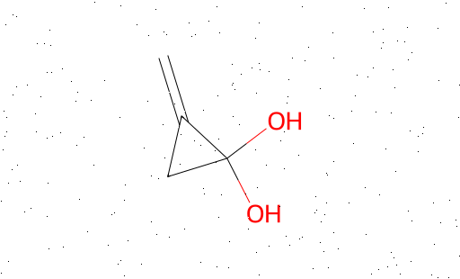 C=C1CC1(O)O